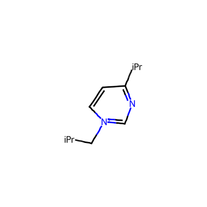 CC(C)C[n+]1ccc(C(C)C)nc1